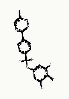 Cc1cnc(-c2ccc(C(F)(F)Oc3cc(F)c(F)c(F)c3)cc2)nc1